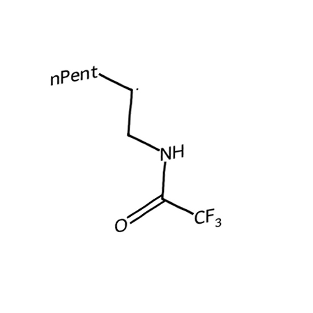 CCCCC[CH]CNC(=O)C(F)(F)F